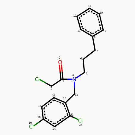 O=C(CCl)N(CCCc1ccccc1)Cc1ccc(Cl)cc1Cl